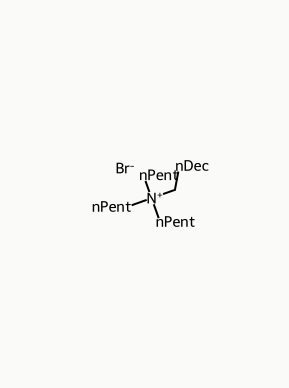 CCCCCCCCCCC[N+](CCCCC)(CCCCC)CCCCC.[Br-]